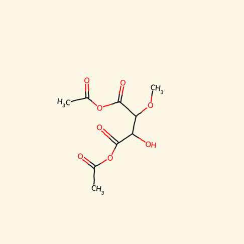 COC(C(=O)OC(C)=O)C(O)C(=O)OC(C)=O